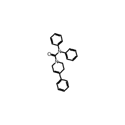 O=C(N1CC=C(c2ccccc2)CC1)N(c1ccccc1)c1ccccc1